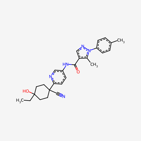 CCC1(O)CCC(C#N)(c2ccc(NC(=O)c3cnn(-c4ccc(C)cc4)c3C)cn2)CC1